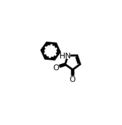 O=C1C=CNC1=O.c1ccccc1